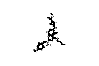 CCCCNc1nc(N(P)Cc2ccc(OC)cc2)nc2ccn(CC34CC(C(=O)OC)(C3)C4)c(=O)c12